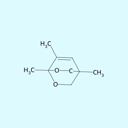 CC1=CC2(C)COC1(C)OC2